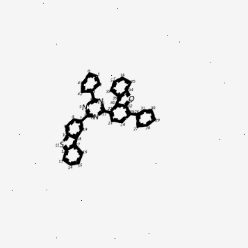 c1ccc(-c2nc(-c3ccc4sc5ccccc5c4c3)nc(-c3ccc(-c4ccccc4)c4oc5ccccc5c34)n2)cc1